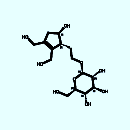 OCC1=C(CO)[C@@H](CCO[C@@H]2O[C@H](CO)[C@@H](O)[C@H](O)[C@H]2O)[C@H](O)C1